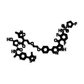 Cc1cc(C(CCOCCOc2ccc(-c3cnc4[nH]cc(C(=O)c5c(F)ccc(NS(=O)(=O)N6CC[C@@H](F)C6)c5F)c4c3)cc2)C(=O)N2C[C@H](O)C[C@H]2C(=O)NC(C)c2ccc(-c3scnc3C)cc2)on1